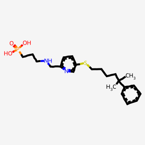 CC(C)(CCCCSc1ccc(CNCCCP(=O)(O)O)nc1)c1ccccc1